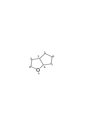 C1CC2CCOC2C1